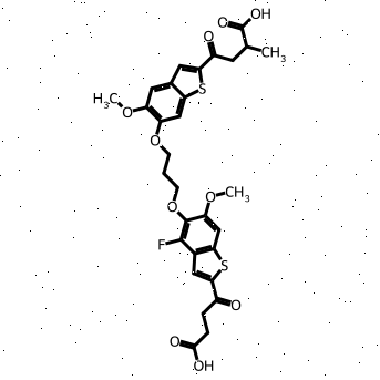 COc1cc2cc(C(=O)CC(C)C(=O)O)sc2cc1OCCCOc1c(OC)cc2sc(C(=O)CCC(=O)O)cc2c1F